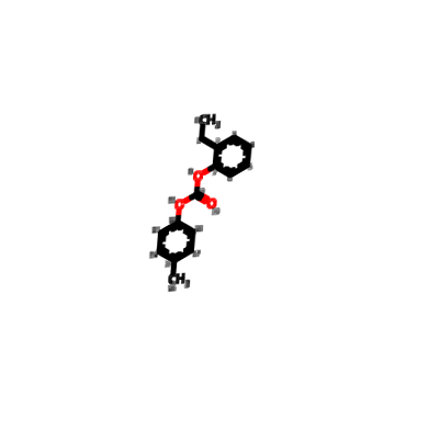 CCc1ccccc1OC(=O)Oc1ccc(C)cc1